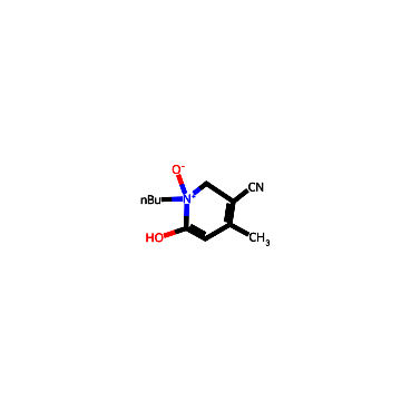 CCCC[N+]1([O-])CC(C#N)=C(C)C=C1O